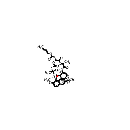 CCCCOC(=O)C[C@H](OC(=O)OC(C)(C)C)C(=O)O[C@@H](C)C(=O)OC1=CC[C@@]2(O)[C@H]3Cc4ccc(OC)c5c4[C@@]2(CCN3C)[C@H]1O5